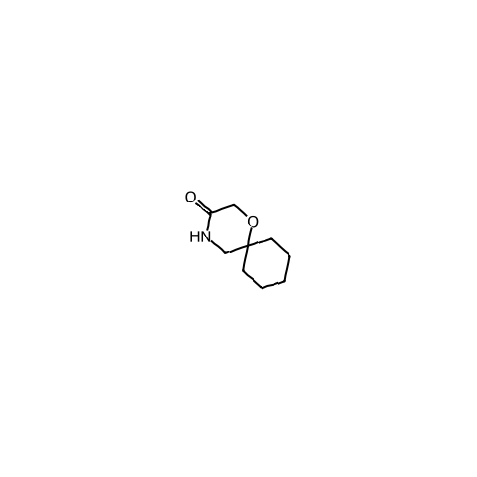 O=C1COC2(CCCCC2)CN1